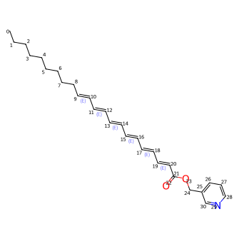 CCCCCCCCC/C=C/C=C/C=C/C=C/C=C/C=C/C(=O)OCc1cccnc1